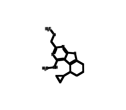 CNc1nc(COC)nc2sc3c(c12)C(C1CC1)CCC3